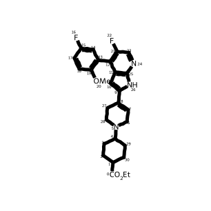 CCOC(=O)C1CCC(N2CC=C(c3cc4c(-c5cc(F)ccc5OC)c(F)cnc4[nH]3)CC2)CC1